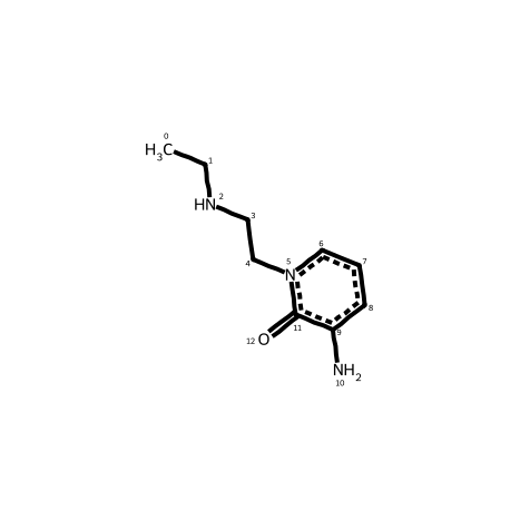 CCNCCn1cccc(N)c1=O